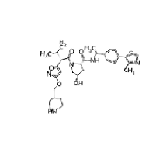 Cc1ncsc1-c1ccc([C@H](C)NC(=O)[C@@H]2C[C@@H](O)CN2C(=O)[C@H](c2cc(OCC3CCNCC3)no2)C(C)C)cc1